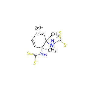 CC1(NC(=S)[S-])C=CC=CC1(C)NC(=S)[S-].[Zn+2]